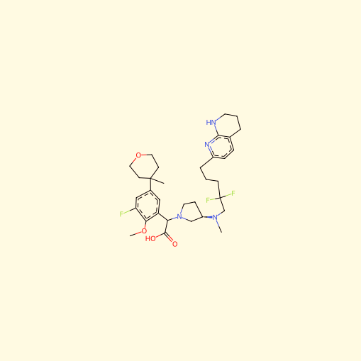 COc1c(F)cc(C2(C)CCOCC2)cc1C(C(=O)O)N1CC[C@@H](N(C)CC(F)(F)CCCc2ccc3c(n2)NCCC3)C1